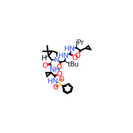 CC(C)[C@H](NC(=O)N[C@H](C(=O)N1CC2[C@@H]([C@H]1C(=O)NC1(C(=O)NS(=O)(=O)c3ccccc3)CC1)C2(C)C)C(C)(C)C)C(=O)C1CC1